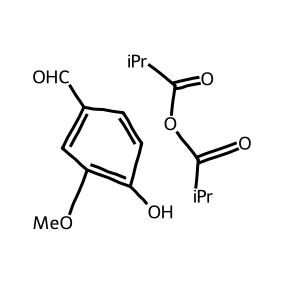 CC(C)C(=O)OC(=O)C(C)C.COc1cc(C=O)ccc1O